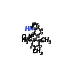 Cc1cc(C)c(-c2cccc(NC(C)C)c2[N+](=O)[O-])c(C)c1